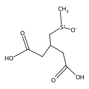 C[S+]([O-])CC(CC(=O)O)CC(=O)O